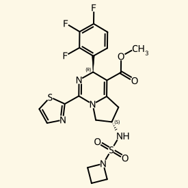 COC(=O)C1=C2C[C@H](NS(=O)(=O)N3CCC3)CN2C(c2nccs2)=N[C@H]1c1ccc(F)c(F)c1F